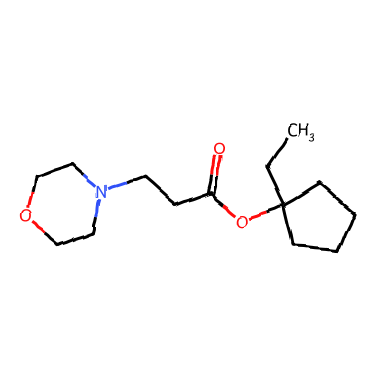 CCC1(OC(=O)CCN2CCOCC2)CCCC1